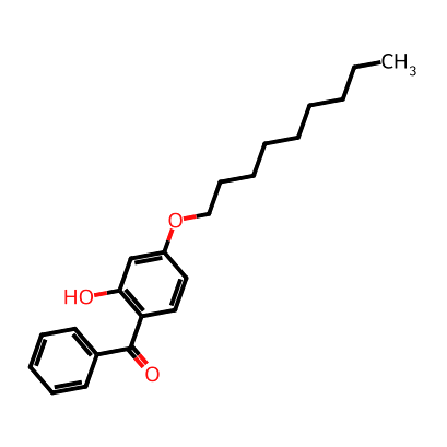 CCCCCCCCCOc1ccc(C(=O)c2ccccc2)c(O)c1